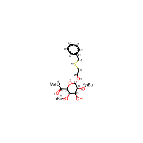 CCCCO[C@H]1C(C(=O)OC)O[C@H](OCCSCc2ccccc2)[C@@H](OCCCC)C1O